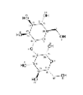 OC[C@H]1O[C@H](O[C@H]2[C@@H](O)[C@H](O)[C@@H](CO)O[C@H]2O)[C@@H](O)[C@@H](O)[C@@H]1O